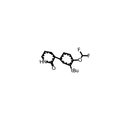 CC(C)(C)c1cc(-c2ccc[nH]c2=O)ccc1OC(F)F